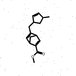 COC(=O)C1=CC2CC1C=C2CC1C=CC(C)C1